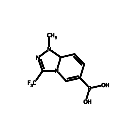 CN1N=C(C(F)(F)F)N2C=C(B(O)O)C=CC12